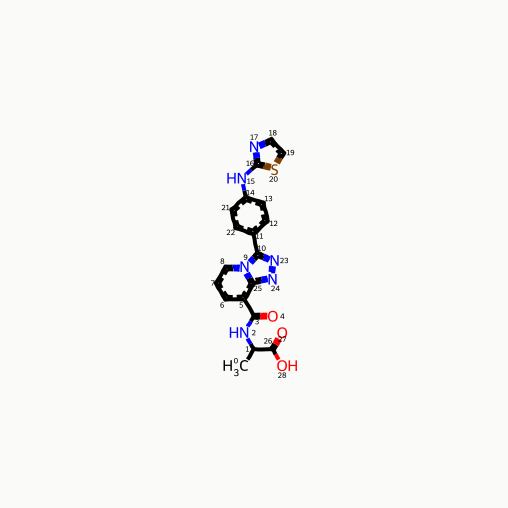 CC(NC(=O)c1cccn2c(-c3ccc(Nc4nccs4)cc3)nnc12)C(=O)O